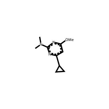 COc1cc(C2CC2)nc(N(C)C)n1